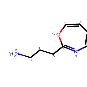 NCCCC1=NC=CC=CO1